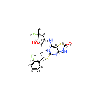 C[C@H](Sc1nc(N[C@@H](CO)CC(C)(C)F)c2sc(=O)[nH]c2n1)c1ccccc1F